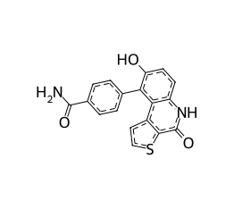 NC(=O)c1ccc(-c2c(O)ccc3[nH]c(=O)c4sccc4c23)cc1